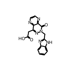 O=C(O)Cc1nn(Cc2nc3ccccc3[nH]2)c(=O)c2nccnc12